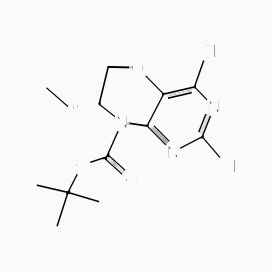 CC[C@@H]1COc2c(Cl)nc(Cl)nc2N1C(=O)OC(C)(C)C